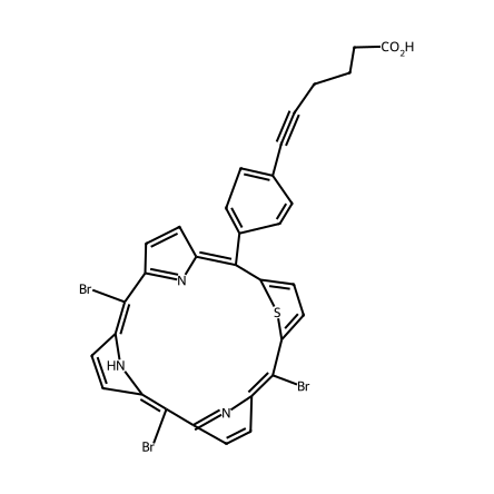 O=C(O)CCCC#Cc1ccc(-c2c3nc(c(Br)c4ccc([nH]4)c(Br)c4nc(c(Br)c5ccc2s5)C=C4)C=C3)cc1